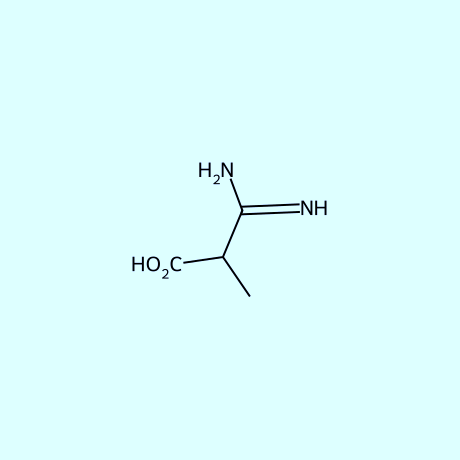 CC(C(=N)N)C(=O)O